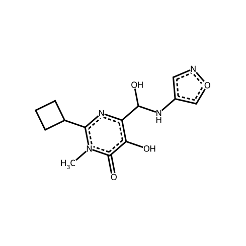 Cn1c(C2CCC2)nc(C(O)Nc2cnoc2)c(O)c1=O